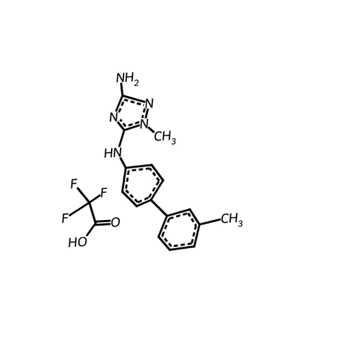 Cc1cccc(-c2ccc(Nc3nc(N)nn3C)cc2)c1.O=C(O)C(F)(F)F